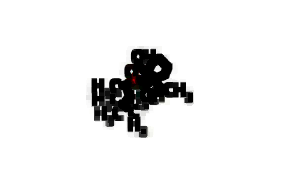 CC(CCC1(C(=O)O)CCCCC1(C(=O)O)C(C)C)CC(C)(C)C